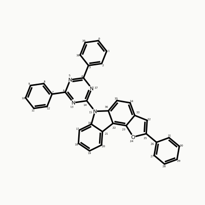 c1ccc(-c2nc(-c3ccccc3)nc(-n3c4ccccc4c4c5oc(-c6ccccc6)cc5ccc43)n2)cc1